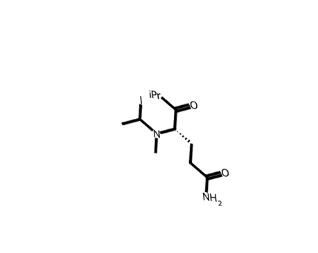 CC(C)C(=O)[C@H](CCC(N)=O)N(C)C(C)I